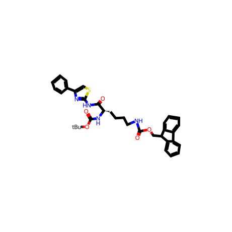 CC(C)(C)OC(=O)N[C@@H](CCCCNC(=O)OCC1c2ccccc2-c2ccccc21)C(=O)Nc1nc(-c2ccccc2)cs1